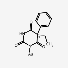 CC[C@@]1(c2ccccc2)C(=O)NC(=O)[N]([Au])C1=O